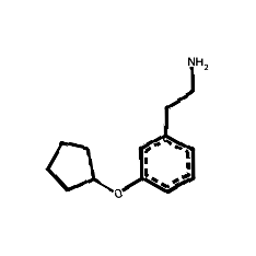 NCCc1cccc(OC2CCCC2)c1